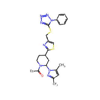 CCC(=O)N1CCC(c2nc(CSc3nnnn3-c3ccccc3)cs2)CC1n1nc(C(F)(F)F)cc1C